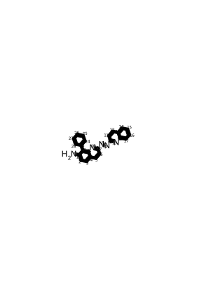 Nc1ccc2ccc(N=Nc3ccc4ccccc4n3)nc2c1-c1ccccc1